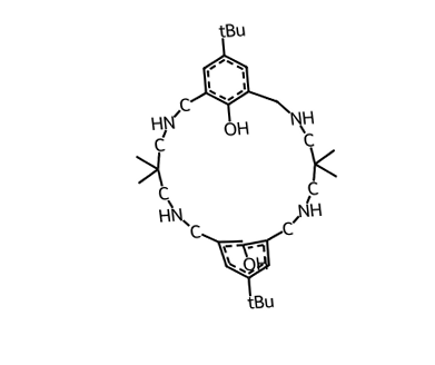 CC1(C)CNCc2cc(C(C)(C)C)cc(c2O)CNCC(C)(C)CNCc2cc(C(C)(C)C)cc(c2O)CNC1